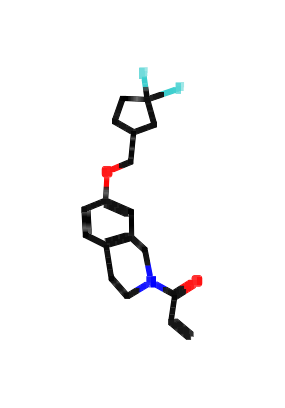 C=CC(=O)N1CCc2ccc(OCC3CCC(F)(F)C3)cc2C1